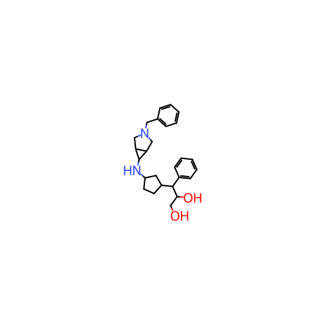 OCC(O)C(c1ccccc1)C1CCC(NC2C3CN(Cc4ccccc4)CC32)C1